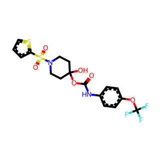 O=C(Nc1ccc(OC(F)(F)F)cc1)OC1(O)CCN(S(=O)(=O)c2cccs2)CC1